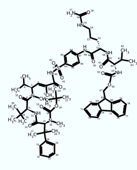 C/C(=C\[C@H](C(C)C)N(C)C(=O)[C@@H](NC(=O)[C@@H](N(C)C(=O)OC(C)(C)C)C(C)(C)c1ccccc1)C(C)(C)C)C(=O)NS(=O)(=O)c1ccc(NC(=O)[C@H](CCCNC(N)=O)NC(=O)[C@@H](NC(=O)OCC2c3ccccc3-c3ccccc32)C(C)C)cc1